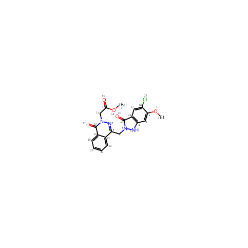 CCOc1cc2[nH]n(Cc3nn(CC(=O)OC(C)(C)C)c(=O)c4ccccc34)c(=O)c2cc1Cl